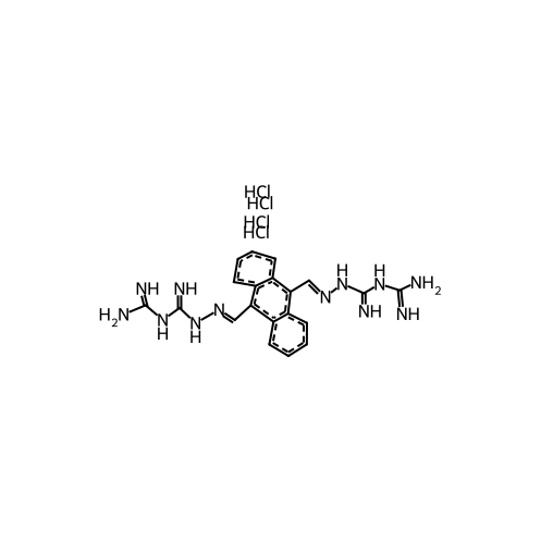 Cl.Cl.Cl.Cl.N=C(N)NC(=N)NN=Cc1c2ccccc2c(C=NNC(=N)NC(=N)N)c2ccccc12